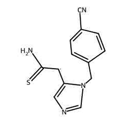 N#Cc1ccc(Cn2cncc2[CH]C(N)=S)cc1